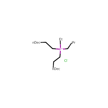 CCCCCCCCCCCC[P+](CC)(CCCCCCCCCCCC)CC(C)C.[Cl-]